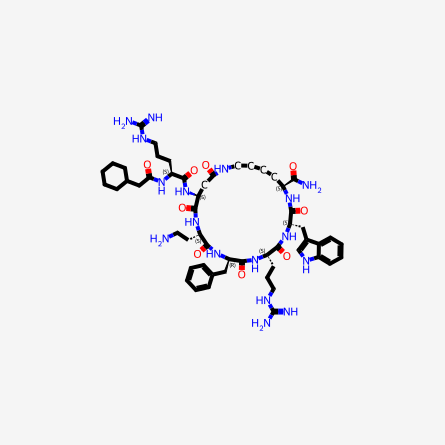 N=C(N)NCCC[C@H](NC(=O)CC1CCCCC1)C(=O)N[C@H]1CC(=O)NCCCC[C@@H](C(N)=O)NC(=O)[C@H](Cc2c[nH]c3ccccc23)NC(=O)[C@H](CCCNC(=N)N)NC(=O)[C@@H](Cc2ccccc2)NC(=O)[C@H](CCN)NC1=O